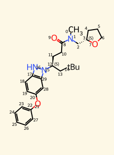 CN(C[C@@H]1CCCO1)C(=O)CC[C@@H](CC(C)(C)C)n1[nH]c2ccc(Oc3ccccc3)cc21